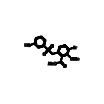 COC(=O)c1c(CS(=O)(=O)c2cccc(O)c2)ccc(Br)c1OC